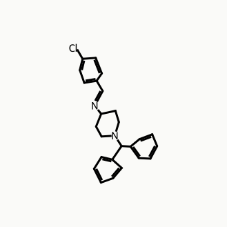 Clc1ccc(/C=N/C2CCN(C(c3ccccc3)c3ccccc3)CC2)cc1